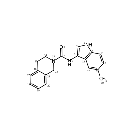 O=C(Nc1c[nH]c2ccc(C(F)(F)F)cc12)N1CCc2ccccc2C1